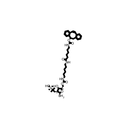 B[C@@H]1O[C@H](COC(=O)NCCCCCCNC(=O)CCCCCNC(=O)OC2Cc3ccccc3C#Cc3ccccc32)C(O)[C@@H]1CC(C)(C)[Si](C)(C)O